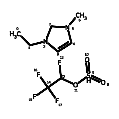 CCN1C=CN(C)C1.O=[SH](=O)OC(F)C(F)(F)F